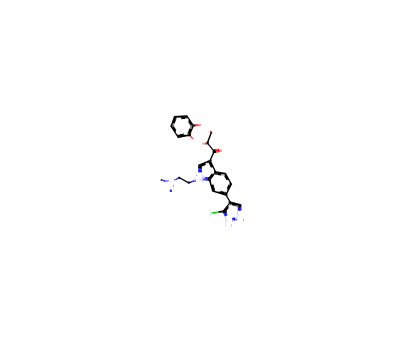 CN(C)CCn1cc(C(=O)C2COc3ccccc3O2)c2ccc(-c3c[nH]nc3Cl)cc21